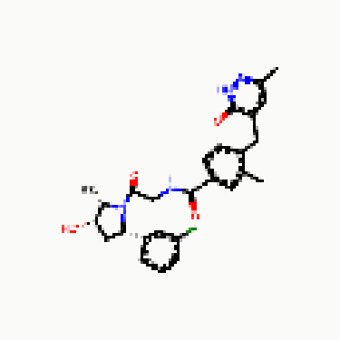 Cc1cc(Cc2ccc(C(=O)NCC(=O)N3[C@H](c4cccc(F)c4)C[C@H](O)[C@@H]3C(C)C)cc2C)c(=O)[nH]n1